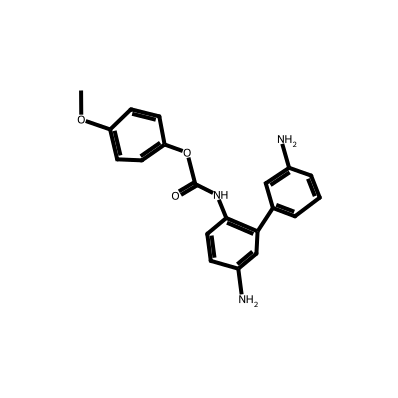 COc1ccc(OC(=O)Nc2ccc(N)cc2-c2cccc(N)c2)cc1